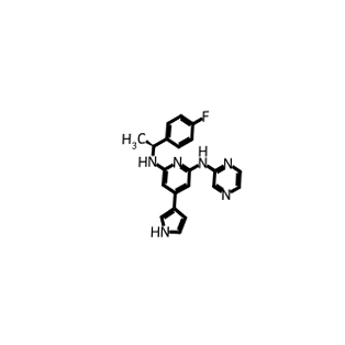 C[C@H](Nc1cc(-c2cc[nH]c2)cc(Nc2cnccn2)n1)c1ccc(F)cc1